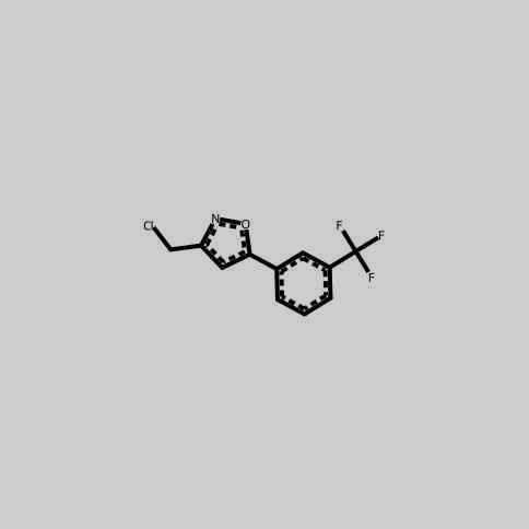 FC(F)(F)c1cccc(-c2cc(CCl)no2)c1